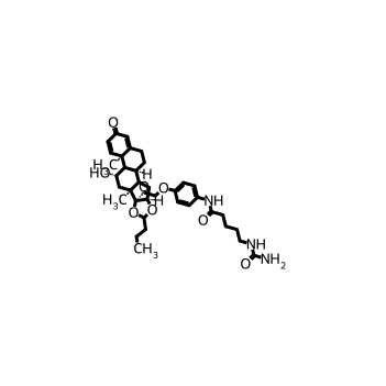 CCCC1O[C@@H]2CC3[C@@H]4CCC5=CC(=O)C=C[C@]5(C)C4[C@@H](O)C[C@]3(C)[C@]2(C(=O)COc2ccc(NC(=O)CCCCNC(N)=O)cc2)O1